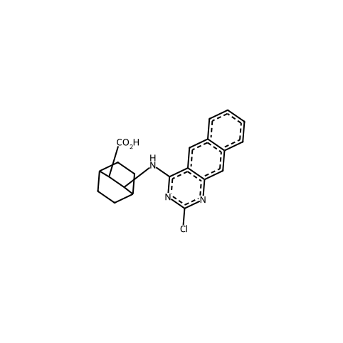 O=C(O)C1C2CCC(CC2)C1Nc1nc(Cl)nc2cc3ccccc3cc12